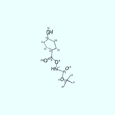 CC(C)(C)OC(=O)NOC(=O)C1CCC(O)CC1